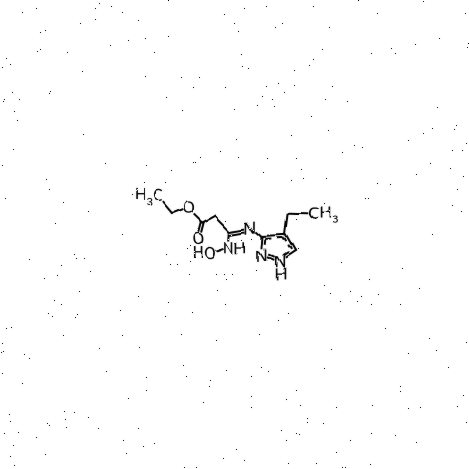 CCOC(=O)CC(=Nc1n[nH]cc1CC)NO